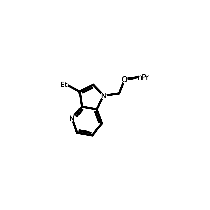 CCCOCn1cc(CC)c2ncccc21